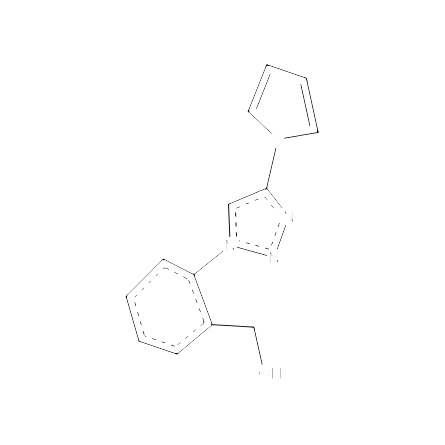 OCc1ccccc1-n1cc([SH]2C=CC=C2)nn1